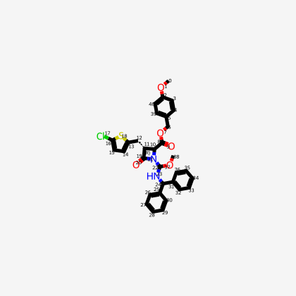 COc1ccc(COC(=O)C2[C@@H](Cc3ccc(Cl)s3)C(=O)N2C(NC(c2ccccc2)c2ccccc2)OC)cc1